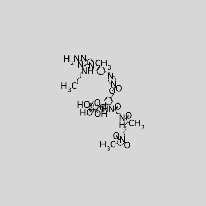 CCCCCNc1nc(N)nc2ccn(Cc3ccc(CN4CCN(C(=O)OCc5ccc(O[C@@H]6OC[C@@H](O)[C@H](O)[C@H]6O)c(NC(=O)CCNC(=O)C(C)CCCCN6C(=O)CC(C)C6=O)c5)CC4)cc3C)c12